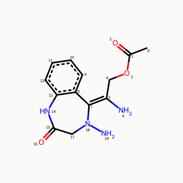 CC(=O)OC/C(N)=C1\c2ccccc2NC(=O)CN1N